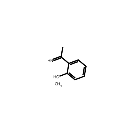 C.CC(=N)c1ccccc1O